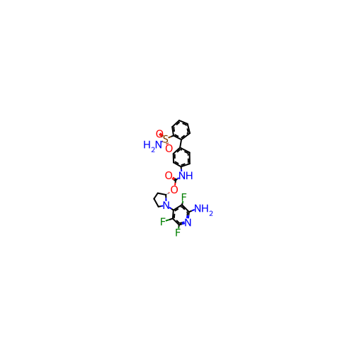 Nc1nc(F)c(F)c(N2CCC[C@@H]2OC(=O)Nc2ccc(-c3ccccc3S(N)(=O)=O)cc2)c1F